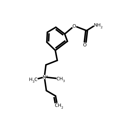 C=CC[N+](C)(C)CCc1cccc(OC(N)=O)c1